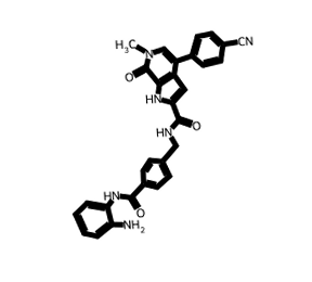 Cn1cc(-c2ccc(C#N)cc2)c2cc(C(=O)NCc3ccc(C(=O)Nc4ccccc4N)cc3)[nH]c2c1=O